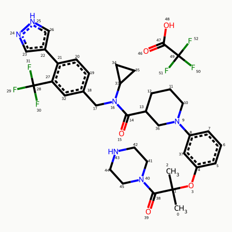 CC(C)(Oc1cccc(N2CCCC(C(=O)N(Cc3ccc(-c4cn[nH]c4)c(C(F)(F)F)c3)C3CC3)C2)c1)C(=O)N1CCNCC1.O=C(O)C(F)(F)F